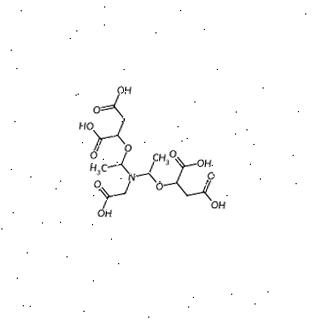 CC(OC(CC(=O)O)C(=O)O)N(CC(=O)O)C(C)OC(CC(=O)O)C(=O)O